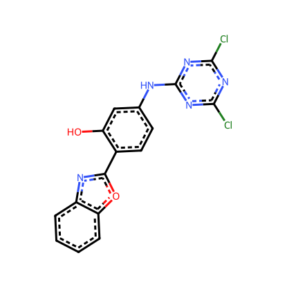 Oc1cc(Nc2nc(Cl)nc(Cl)n2)ccc1-c1nc2ccccc2o1